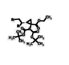 CCOC(=O)[C@@]1(N(C(=O)OC(C)(C)C)C(=O)OC(C)(C)C)C[C@H]1C(Br)CBr